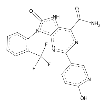 NC(=O)c1nc(-c2ccc(O)nc2)nc2c1[nH]c(=O)n2-c1ccccc1C(F)(F)F